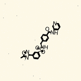 Cc1nc(-c2cccc(S(=O)(=O)NCc3ccc(C(=O)Nc4cccnc4)cc3)c2)no1